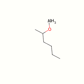 CCCCC(C)[O][AlH2]